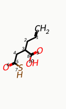 C=CCC(CC(=O)S)C(=O)O